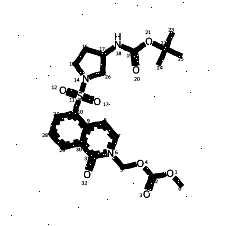 COC(=O)OCn1ccc2c(S(=O)(=O)N3CCC(NC(=O)OC(C)(C)C)C3)cccc2c1=O